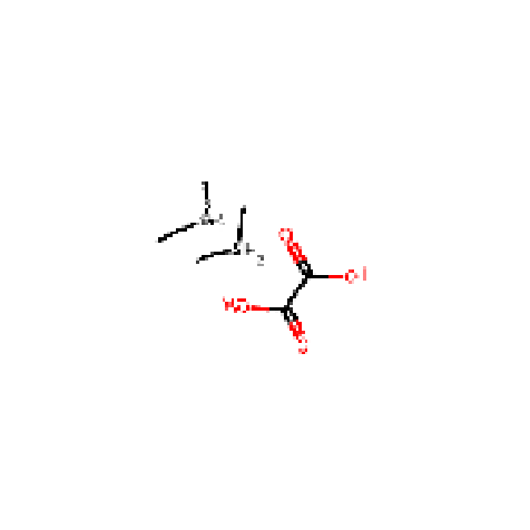 C[SiH2]C.C[SiH2]C.O=C(O)C(=O)O